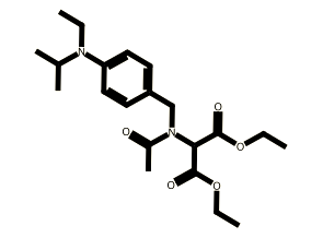 CCOC(=O)C(C(=O)OCC)N(Cc1ccc(N(CC)C(C)C)cc1)C(C)=O